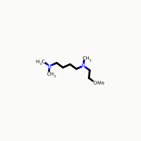 COCCN(C)CC[CH]CN(C)C